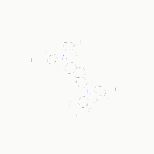 Fc1cc(F)c(F)c(N(c2ccc3c(ccc4cc(N(c5c(F)c(F)c(C(F)(F)F)c(F)c5F)c5c(F)c(F)c(C(F)(F)F)c(F)c5F)ccc43)c2)c2c(F)c(F)c(C(F)(F)F)c(F)c2F)c1F